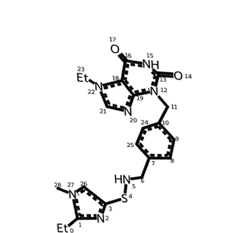 CCc1nc(SNCc2ccc(Cn3c(=O)[nH]c(=O)c4c3ncn4CC)cc2)cn1C